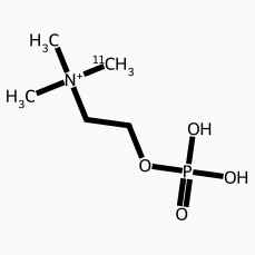 C[N+](C)([11CH3])CCOP(=O)(O)O